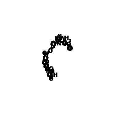 Nc1ncnc2c1c(-c1ccc(Oc3ccccc3)cc1)nn2[C@@H]1CCCN(CCOCCC(=O)N2CCC3(CCc4cc5c(cc4O3)C(=O)N(C3CCC(=O)NC3=O)C5)CC2)C1